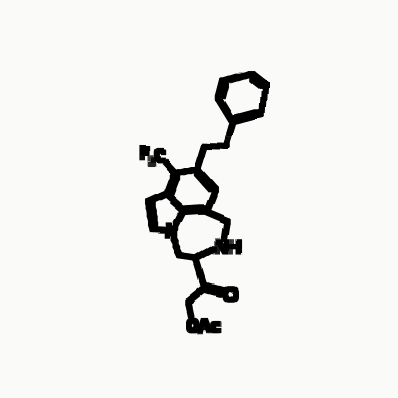 CC(=O)OCC(=O)C1Cn2ccc3c(C(F)(F)F)c(CCc4ccccc4)cc(c32)CN1